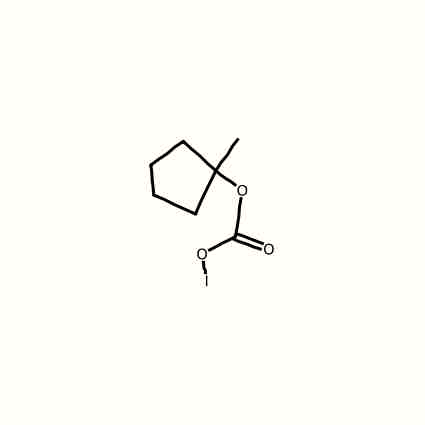 CC1(OC(=O)OI)CCCC1